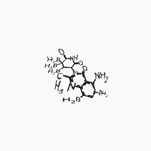 Bc1cc(B)c2nc(C)n(C3C(=O)NC(=O)C(B)(B)C3B)c(=O)c2c1N